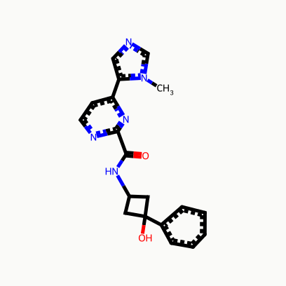 Cn1cncc1-c1ccnc(C(=O)NC2CC(O)(c3ccccc3)C2)n1